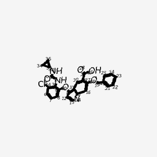 O=C(Nc1c(Cl)cccc1Oc1ccnc2cc(OCc3ccccc3)c(C(=O)O)cc12)NC1CC1